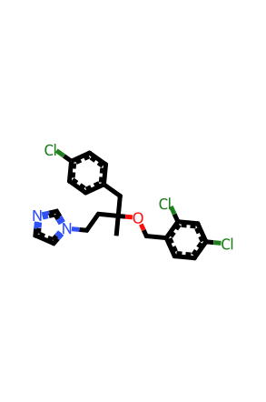 CC(CCn1ccnc1)(Cc1ccc(Cl)cc1)OCc1ccc(Cl)cc1Cl